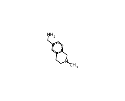 CN1CCc2cc(CN)ccc2C1